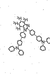 [2H]c1c([2H])c([2H])c2c(nc(-c3ccc(-c4ccc(N(c5ccccc5)c5ccccc5)cc4)cc3)n2-c2ccc(-c3ccc(N(c4ccccc4)c4ccccc4)cc3)cc2)c1[2H]